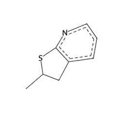 CC1Cc2cccnc2S1